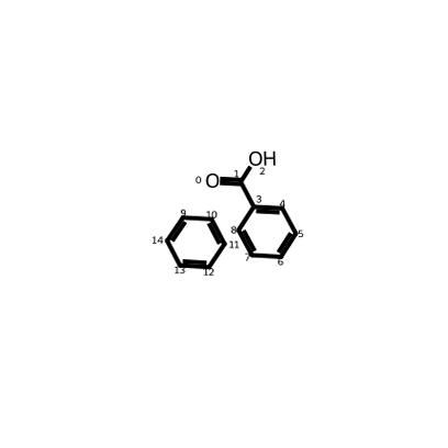 O=C(O)c1ccccc1.c1ccccc1